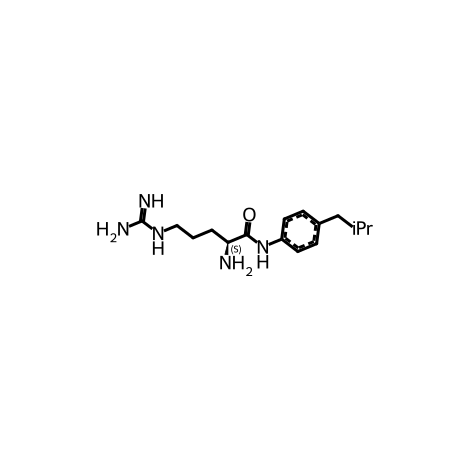 CC(C)Cc1ccc(NC(=O)[C@@H](N)CCCNC(=N)N)cc1